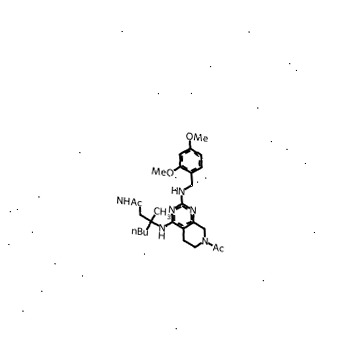 CCCCC(C)(CNC(C)=O)Nc1nc(NCc2ccc(OC)cc2OC)nc2c1CCN(C(C)=O)C2